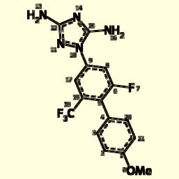 COc1ccc(-c2c(F)cc(-n3nc(N)nc3N)cc2C(F)(F)F)cc1